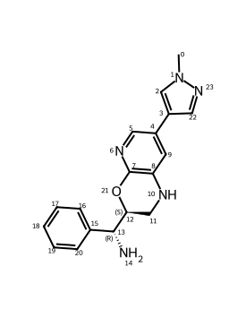 Cn1cc(-c2cnc3c(c2)NC[C@@H]([C@H](N)c2ccccc2)O3)cn1